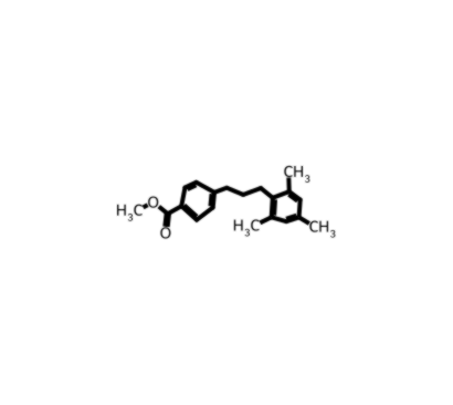 COC(=O)c1ccc(CCCc2c(C)cc(C)cc2C)cc1